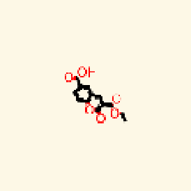 CCOC(=O)c1cc2cc(C(=O)O)ccc2oc1=O